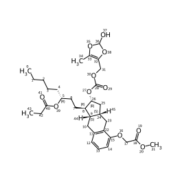 CCCCC[C@H](CC[C@@H]1[C@H]2Cc3cccc(OCC(=O)OC)c3C[C@H]2C[C@H]1OC(=O)OCC1=C(C)OC(O)O1)OC(=O)CC